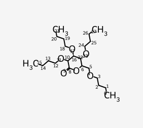 CCCCOCC1OC(=O)C(OCCCC)[C@@H](OCCCC)[C@@H]1OCCCC